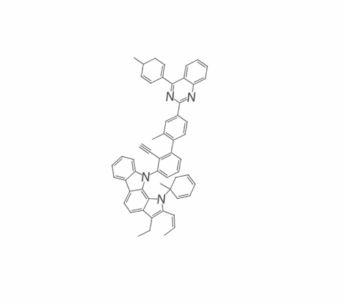 C#Cc1c(-c2ccc(-c3nc(C4=CCC(C)C=C4)c4ccccc4n3)cc2C)cccc1-n1c2ccccc2c2ccc3c(CC)c(/C=C\C)n(C4(C)C=CC=CC4)c3c21